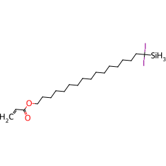 C=CC(=O)OCCCCCCCCCCCCCCCCC([SiH3])(I)I